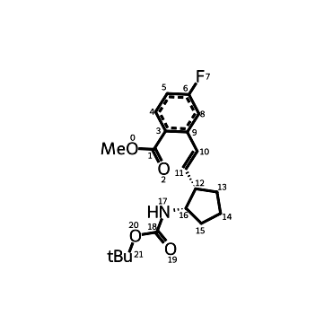 COC(=O)c1ccc(F)cc1C=C[C@@H]1CCC[C@@H]1NC(=O)OC(C)(C)C